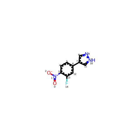 O=[N+]([O-])c1ccc(-c2cn[nH]c2)cc1F